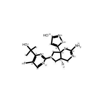 CC(C)(O)c1nc(N2C[C@@H]3CN=C(N)S[C@@]3(c3ccns3)C2)ncc1F.Cl